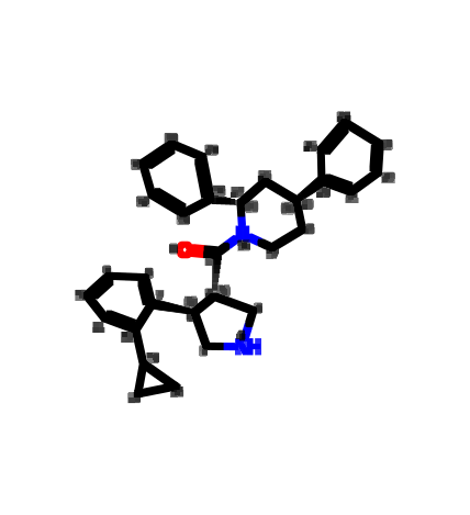 O=C([C@@H]1CNC[C@H]1c1ccccc1C1CC1)N1CC[C@H](c2ccccc2)C[C@H]1c1ccccc1